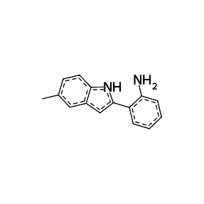 Cc1ccc2[nH]c(-c3ccccc3N)cc2c1